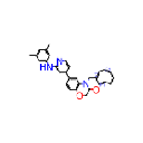 Cc1cc(C)cc(Nc2cc(-c3ccc4c(c3)N(CC3=C/C=C\CC\C=C\3)C(=O)CO4)ccn2)c1